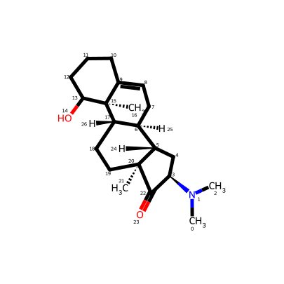 CN(C)[C@@H]1C[C@H]2[C@@H]3CC=C4CCCC(O)[C@]4(C)[C@H]3CC[C@]2(C)C1=O